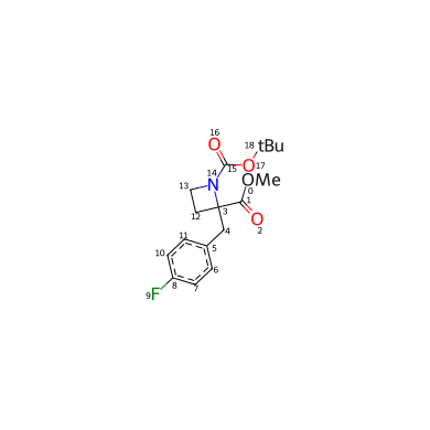 COC(=O)C1(Cc2ccc(F)cc2)CCN1C(=O)OC(C)(C)C